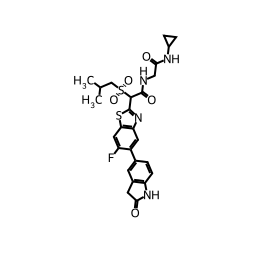 CC(C)CS(=O)(=O)C(C(=O)NCC(=O)NC1CC1)c1nc2cc(-c3ccc4c(c3)CC(=O)N4)c(F)cc2s1